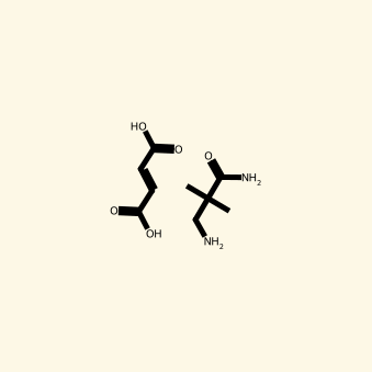 CC(C)(CN)C(N)=O.O=C(O)C=CC(=O)O